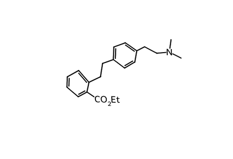 CCOC(=O)c1ccccc1CCc1ccc(CCN(C)C)cc1